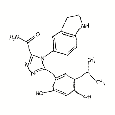 CC(C)c1cc(-c2nnc(C(N)=O)n2-c2ccc3c(c2)CCN3)c(O)cc1O